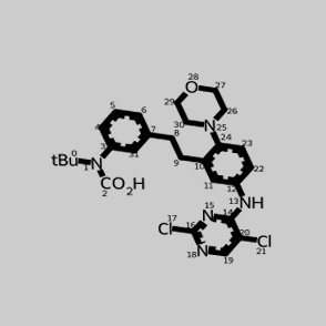 CC(C)(C)N(C(=O)O)c1cccc(CCc2cc(Nc3nc(Cl)ncc3Cl)ccc2N2CCOCC2)c1